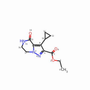 CCOC(=O)c1nn2c(c1C1CC1)C(=O)NCC2